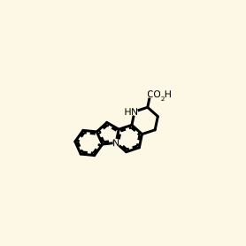 O=C(O)C1CCc2ccn3c(cc4ccccc43)c2N1